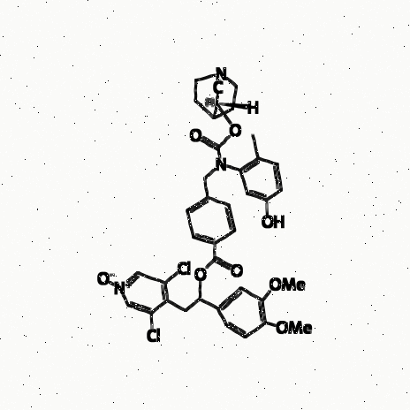 COc1ccc(C(Cc2c(Cl)c[n+]([O-])cc2Cl)OC(=O)c2ccc(CN(C(=O)O[C@H]3CN4CCC3CC4)c3cc(O)ccc3C)cc2)cc1OC